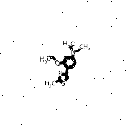 CCOc1cc(N(CC)CC)ccc1-c1csc(C)n1